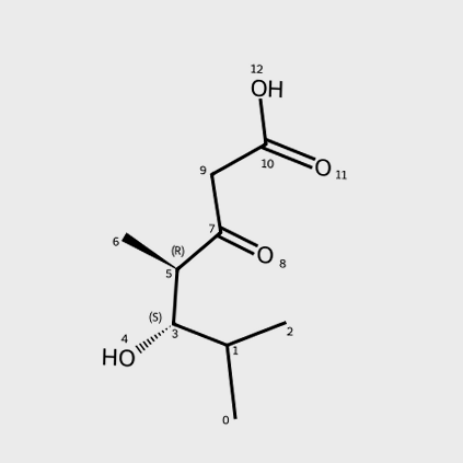 CC(C)[C@H](O)[C@@H](C)C(=O)CC(=O)O